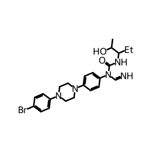 CCC(NC(=O)N(C=N)c1ccc(N2CCN(c3ccc(Br)cc3)CC2)cc1)C(C)O